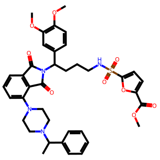 COC(=O)c1ccc(S(=O)(=O)NCCCC(c2ccc(OC)c(OC)c2)N2C(=O)c3cccc(N4CCN(C(C)c5ccccc5)CC4)c3C2=O)o1